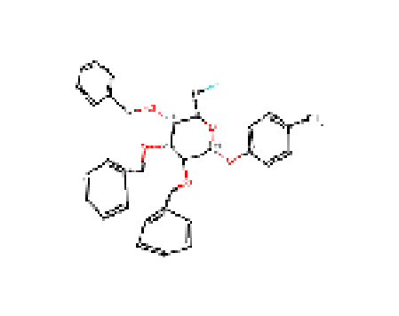 Cc1ccc(O[C@H]2OC(CF)[C@@H](OCc3ccccc3)C(OCc3ccccc3)C2OCc2ccccc2)cc1